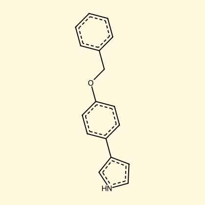 c1ccc(COc2ccc(-c3cc[nH]c3)cc2)cc1